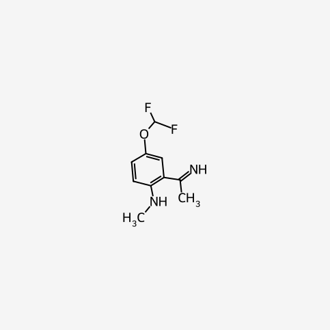 CNc1ccc(OC(F)F)cc1C(C)=N